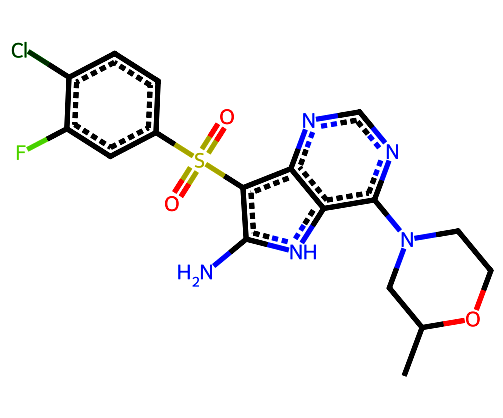 CC1CN(c2ncnc3c(S(=O)(=O)c4ccc(Cl)c(F)c4)c(N)[nH]c23)CCO1